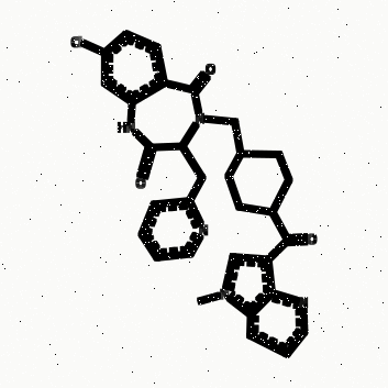 Cn1cc(C(=O)C2CCC(CN3C(=O)c4ccc(Cl)cc4NC(=O)C3Cc3ccccn3)CC2)c2ncccc21